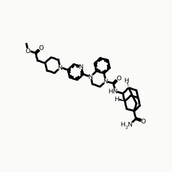 COC(=O)CC1CCN(c2ccc(N3CCN(C(=O)NC4[C@@H]5CC6C[C@H]4CC(C(N)=O)(C6)C5)c4ccccc43)nc2)CC1